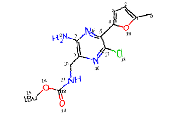 Cc1ccc(-c2nc(N)c(CNC(=O)OC(C)(C)C)nc2Cl)o1